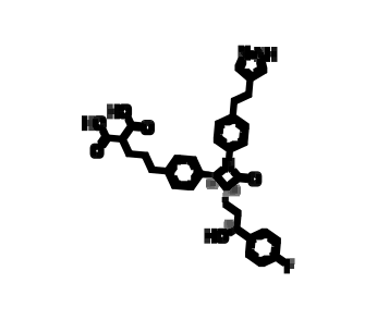 O=C(O)C(CCCc1ccc([C@@H]2[C@@H](CC[C@H](O)c3ccc(F)cc3)C(=O)N2c2ccc(CCc3cn[nH]c3)cc2)cc1)C(=O)O